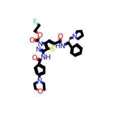 O=C(Nc1nn(C(=O)OCCF)c2cc(C(=O)N[C@H](CN3CCCC3)c3ccccc3)sc12)c1ccc(N2CCOCC2)cc1